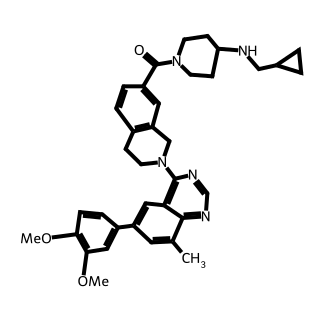 COc1ccc(-c2cc(C)c3ncnc(N4CCc5ccc(C(=O)N6CCC(NCC7CC7)CC6)cc5C4)c3c2)cc1OC